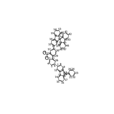 O=c1oc2ccc(-c3ccc4c(c3)c3ccccc3n4-c3ccccc3)cc2c2ccc(-c3ccc4c(c3)C3(c5ccccc5-c5ccccc53)c3ccccc3-4)cc12